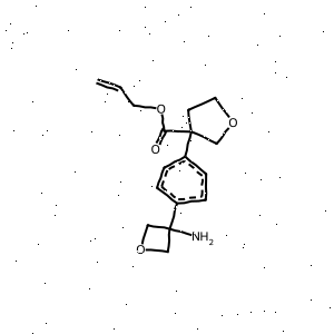 C=CCOC(=O)C1(c2ccc(C3(N)COC3)cc2)CCOC1